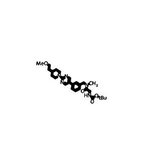 COCCC1CCN(c2ncc(-c3cccc(CN(C)C(=O)CNC(=O)OC(C)(C)C)c3)cn2)CC1